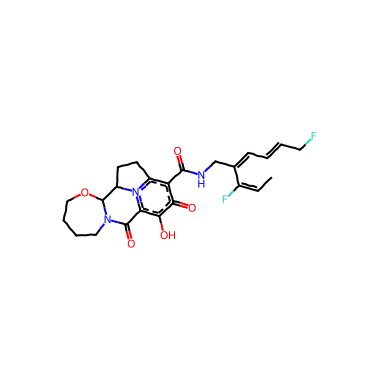 C\C=C(F)/C(=C\C=C\CF)CNC(=O)c1c2n3c(c(O)c1=O)C(=O)N1CCCCOC1C3CC2